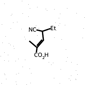 CCC(C#N)C=C(C)C(=O)O